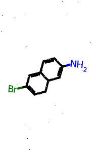 NC1=CC2CC=C(Br)C=C2C=C1